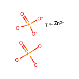 O=P([O-])([O-])[O-].O=P([O-])([O-])[O-].[Ti+4].[Zn+2]